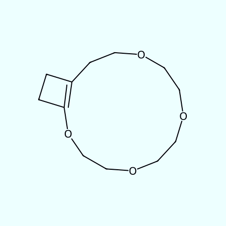 C1COCCOC2=C(CCOCCO1)CC2